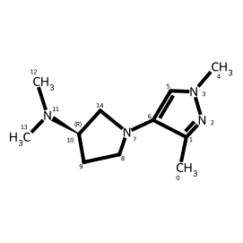 Cc1nn(C)cc1N1CC[C@@H](N(C)C)C1